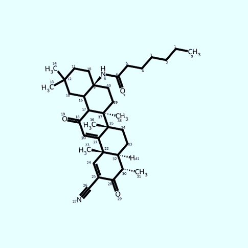 CCCCCCC(=O)N[C@]12CCC(C)(C)CC1C1C(=O)C=C3[C@@]4(C)C=C(C#N)C(=O)[C@@H](C)[C@@H]4CC[C@@]3(C)[C@]1(C)CC2